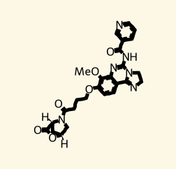 COc1c(OCCCC(=O)N2C[C@@H]3C[C@H]2C(=O)O3)ccc2c1N=C(NC(=O)c1cccnc1)N1CCN=C21